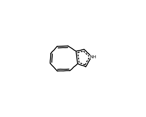 C1=CC=Cc2c[nH]cc2C=C1